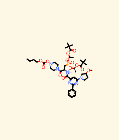 CCCCOC(=O)ON1CCN(C(=O)C(CP(=O)(OC(C)OC(=O)C(C)(C)C)O[C@H](C)OC(=O)C(C)(C)C)NC(=O)c2cc(N3CC[C@H](OC)C3)nc(-c3ccccc3)n2)CC1